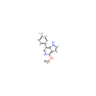 COc1ncc(-c2ccc(F)cc2)c2[nH]ccc12